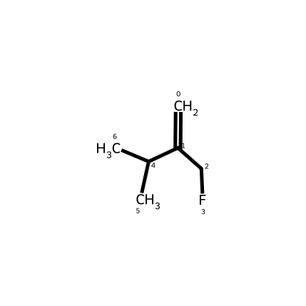 C=C(CF)C(C)C